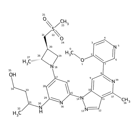 COc1ccncc1-c1cc2c(cnn2-c2cc(N3C[C@H](CS(C)(=O)=O)[C@H]3C)cc(NC(C)CCO)n2)c(C)n1